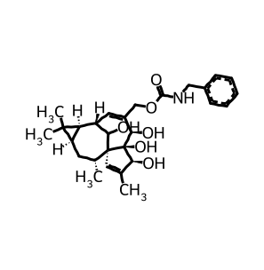 CC1=C[C@]23C(O)[C@@H](C=C(COC(=O)NCc4ccccc4)[C@@H](O)[C@]2(O)[C@H]1O)[C@H]1[C@@H](C[C@H]3C)C1(C)C